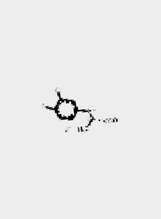 C[C@H](Nc1ccc(F)c(Cl)c1)C(=O)[O-].[Li+]